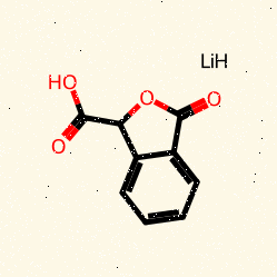 O=C1OC(C(=O)O)c2ccccc21.[LiH]